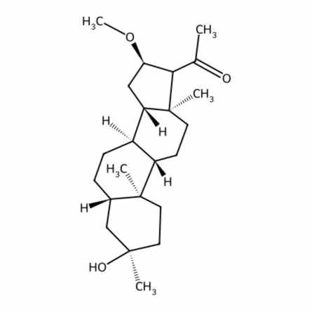 CO[C@@H]1C[C@H]2[C@@H]3CC[C@H]4C[C@](C)(O)CC[C@]4(C)[C@H]3CC[C@]2(C)C1C(C)=O